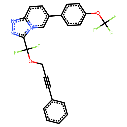 FC(F)(F)Oc1ccc(-c2ccc3nnc(C(F)(F)OCC#Cc4ccccc4)n3c2)cc1